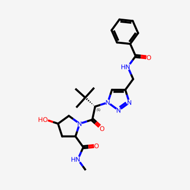 CNC(=O)C1CC(O)CN1C(=O)[C@@H](n1cc(CNC(=O)c2ccccc2)nn1)C(C)(C)C